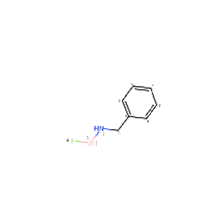 FBNCc1ccccc1